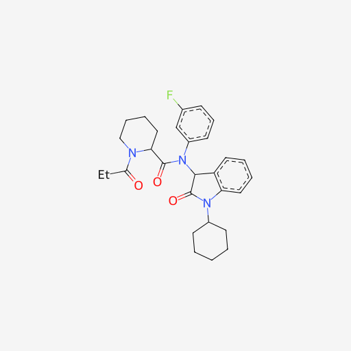 CCC(=O)N1CCCCC1C(=O)N(c1cccc(F)c1)C1C(=O)N(C2CCCCC2)c2ccccc21